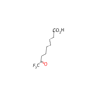 O=C(O)CCCCCCC(=O)C(F)(F)F